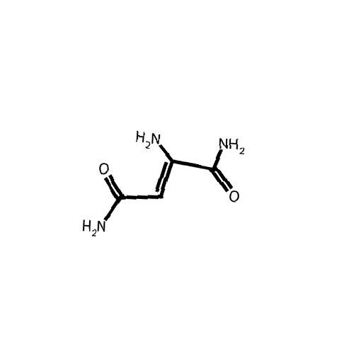 NC(=O)C=C(N)C(N)=O